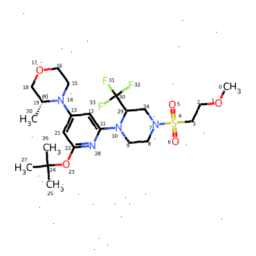 COCCS(=O)(=O)N1CCN(c2cc(N3CCOC[C@H]3C)cc(OC(C)(C)C)n2)C(C(F)(F)F)C1